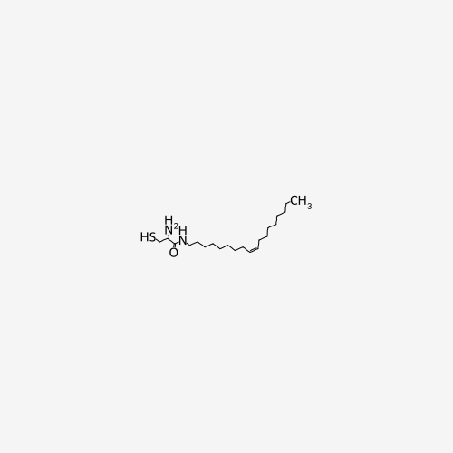 CCCCCCCC/C=C\CCCCCCCCNC(=O)[C@@H](N)CS